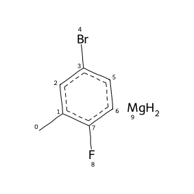 Cc1cc(Br)ccc1F.[MgH2]